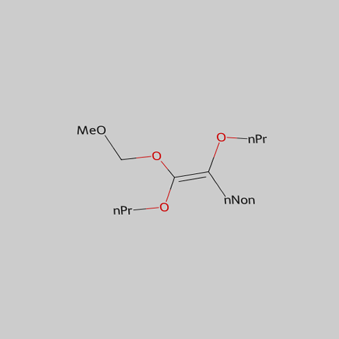 CCCCCCCCC/C(OCCC)=C(\OCCC)OCOC